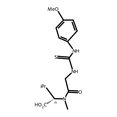 COc1ccc(NC(=S)NCC(=O)N(C)[C@H](C(=O)O)C(C)C)cc1